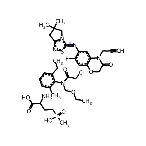 C#CCN1C(=O)COc2cc(F)c(/N=c3\snc4n3CC(C)(C)C4)cc21.CCOCN(C(=O)CCl)c1c(C)cccc1CC.CP(=O)(O)CCC(N)C(=O)O